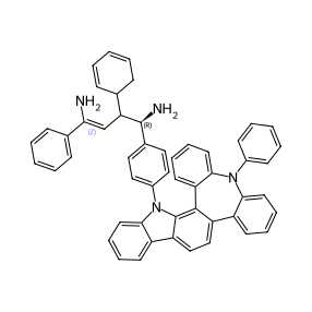 N/C(=C\C(C1C=CC=CC1)[C@@H](N)c1ccc(-n2c3ccccc3c3ccc4c(c32)-c2ccccc2N(c2ccccc2)c2ccccc2-4)cc1)c1ccccc1